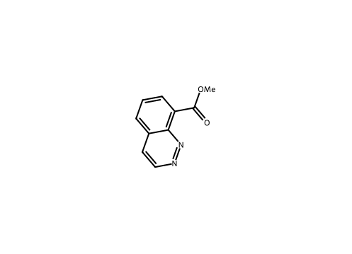 COC(=O)c1cccc2ccnnc12